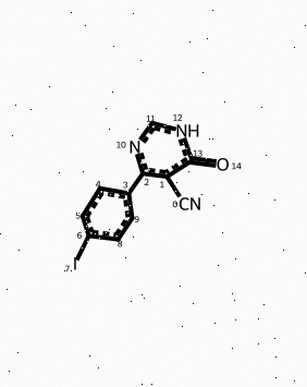 N#Cc1c(-c2ccc(I)cc2)nc[nH]c1=O